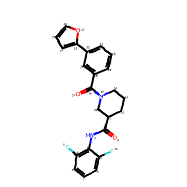 O=C(Nc1c(F)cccc1F)C1CCCN(C(=O)c2cccc(-c3ccco3)c2)C1